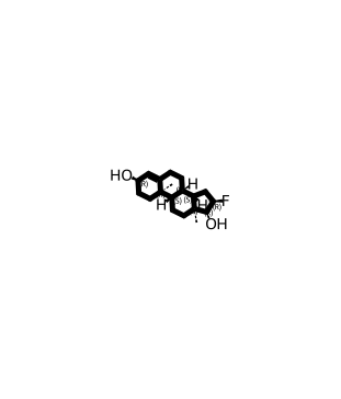 C[C@]12CC[C@H]3[C@@H](CCC4=C[C@H](O)CC[C@@]43C)[C@@H]1C[C@@H](F)[C@@H]2O